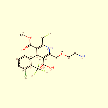 COC(=O)C1=C(CF)NC(COCCN)=C(C(=O)O)C1c1cccc(Cl)c1C(F)(F)F